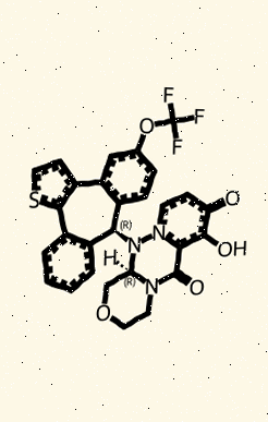 O=C1c2c(O)c(=O)ccn2N([C@@H]2c3ccc(OC(F)(F)F)cc3-c3ccsc3-c3ccccc32)[C@@H]2COCCN12